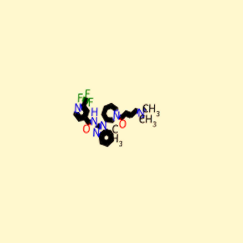 Cc1cccc2nc(NC(=O)c3ccnc(C(F)(F)F)c3)n([C@@H]3CCCCN(C(=O)C=CCN(C)C)C3)c12